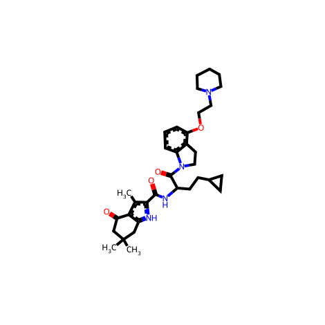 Cc1c(C(=O)NC(CCC2CC2)C(=O)N2CCc3c(OCCN4CCCCC4)cccc32)[nH]c2c1C(=O)CC(C)(C)C2